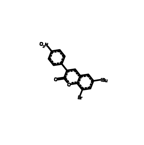 CC(C)(C)c1cc(Br)c2oc(=O)c(-c3ccc([N+](=O)[O-])cc3)cc2c1